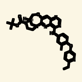 CCc1ccc(Oc2ccc(Nc3ncnc4cc5c(nc34)N3CCN(C(=O)OC(C)(C)C)[C@H](CO5)C3)cc2C)cn1